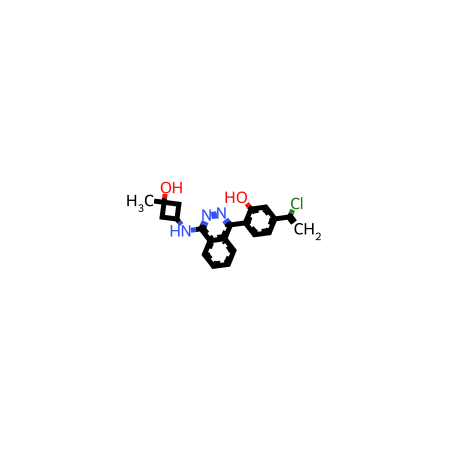 C=C(Cl)c1ccc(-c2nnc(NC3CC(C)(O)C3)c3ccccc23)c(O)c1